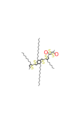 CCCCCCCCCCCCc1c2cc(-c3sc(C4=C5SC(=O)C(C)=C5SC4=O)cc3CCCCCC)sc2c(CCCCCCCCCCCC)c2cc(-c3sc(C)cc3CCCCCCCC)sc12